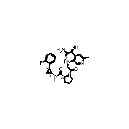 Cc1cc(C(=N)C(N)=O)c(NCC(=O)N2CCC[C@H]2C(=O)N[C@@H]2C[C@H]2c2ccccc2F)cn1